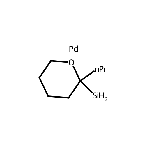 CCCC1([SiH3])CCCCO1.[Pd]